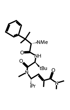 CN[C@H](C(=O)N[C@H](C(=O)N(C)[C@H](/C=C(\C)C(=O)N(C)C)C(C)C)C(C)(C)C)C(C)(C)c1ccccc1